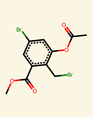 COC(=O)c1cc(Br)cc(OC(C)=O)c1CBr